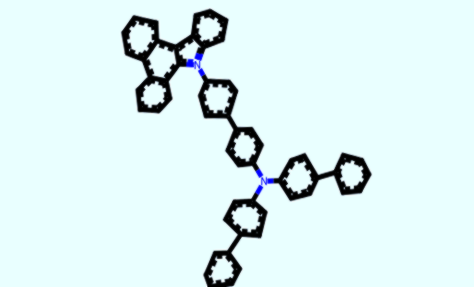 c1ccc(-c2ccc(N(c3ccc(-c4ccccc4)cc3)c3ccc(-c4ccc(-n5c6ccccc6c6c7ccccc7c7ccccc7c65)cc4)cc3)cc2)cc1